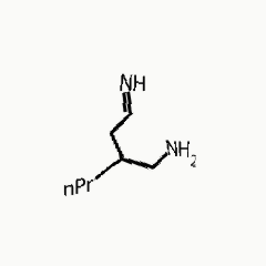 CCCC(CN)CC=N